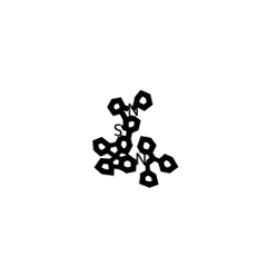 c1ccc(-c2c(-c3ccccc3)n(-c3ccc4c(c3)C3(c5ccccc5-4)c4ccccc4-c4c3ccc3c4sc4c3ccc3c4c4ccccc4n3-c3ccccc3)c3ccccc23)cc1